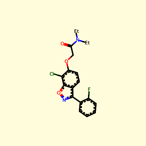 CCN(CC)C(=O)COc1ccc2c(-c3ccccc3F)noc2c1Cl